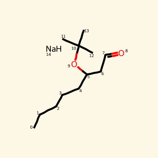 CCCCCC(CC=O)OC(C)(C)C.[NaH]